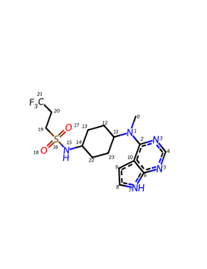 CN(c1ncnc2[nH]ccc12)C1CCC(NS(=O)(=O)CCC(F)(F)F)CC1